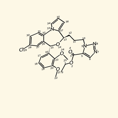 CCOC(=O)c1cnnn1CCC[C@H]1O[C@H](c2cccc(OC)c2OC)c2cc(Cl)ccc2-n2cccc21